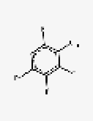 CC(C)c1cc(F)c(C(F)(F)F)c(F)c1F